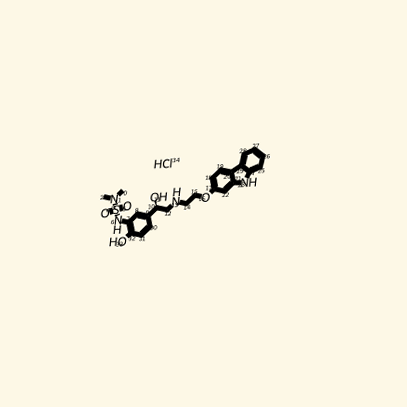 CN(C)S(=O)(=O)Nc1cc([C@H](O)CNCCOc2ccc3c(c2)[nH]c2ccccc23)ccc1O.Cl